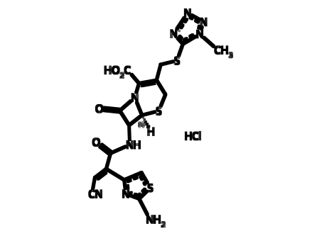 Cl.Cn1nnnc1SCC1=C(C(=O)O)N2C(=O)C(NC(=O)C(=CC#N)c3csc(N)n3)[C@@H]2SC1